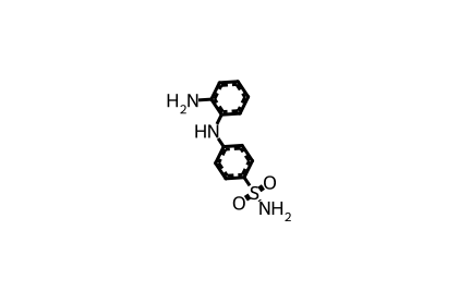 Nc1ccccc1Nc1ccc(S(N)(=O)=O)cc1